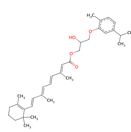 CC1=C(/C=C/C(C)=C/C=C/C(C)=C/C(=O)OCC(O)COc2cc(C(C)C)ccc2C)C(C)(C)CCC1